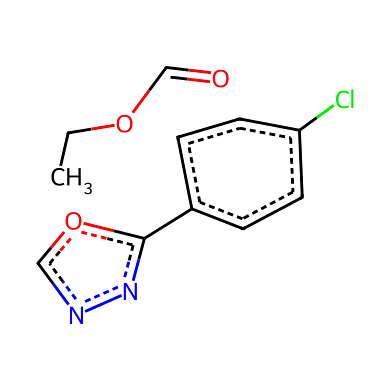 CCOC=O.Clc1ccc(-c2nnco2)cc1